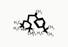 C=C(CC1CC(C)(C)NC(C)(C)C1)c1ccc(C(C)(C)C)cc1